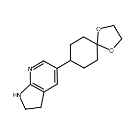 c1nc2c(cc1C1CCC3(CC1)OCCO3)CCN2